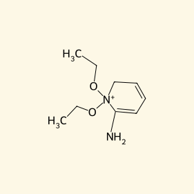 CCO[N+]1(OCC)CC=CC=C1N